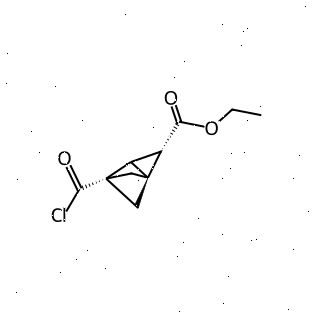 CCOC(=O)[C@H]1C2[C@]3(C(=O)Cl)C[C@@]21C3